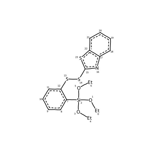 CCO[Si](OCC)(OCC)c1ccccc1SSc1nc2ccccc2s1